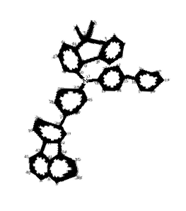 CC1(C)c2ccccc2-c2c(N(c3ccc(-c4ccccc4)cc3)c3ccc(-c4ccc5c(c4)-c4cccc6cccc-5c46)cc3)cccc21